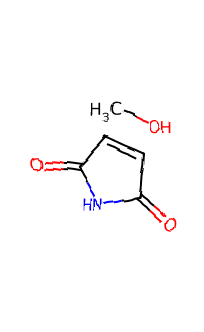 CO.O=C1C=CC(=O)N1